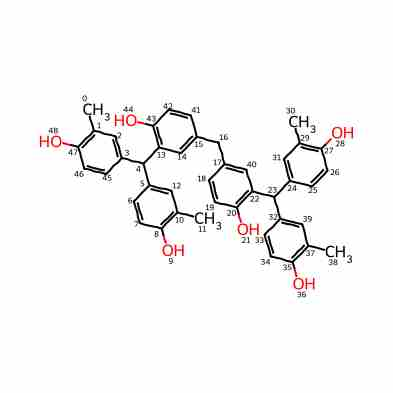 Cc1cc(C(c2ccc(O)c(C)c2)c2cc(Cc3ccc(O)c(C(c4ccc(O)c(C)c4)c4ccc(O)c(C)c4)c3)ccc2O)ccc1O